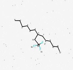 CCCCCCC(CCCCCC)CC(F)(F)F